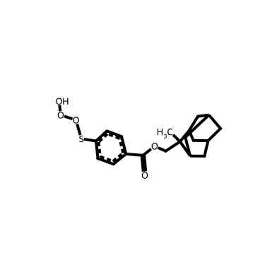 CC1(COC(=O)c2ccc(SOOO)cc2)C2CC3CC(C2)CC1C3